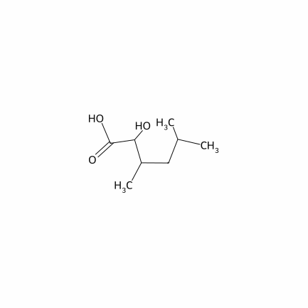 CC(C)CC(C)C(O)C(=O)O